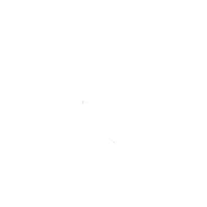 Cc1cc(C)cc(-c2[nH]c3ccccc3c2CN(C)C)c1